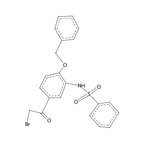 O=C(CBr)c1ccc(OCc2ccccc2)c(NS(=O)(=O)c2ccccc2)c1